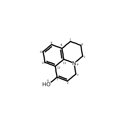 OC1=CCN2CCCc3cccc1c32